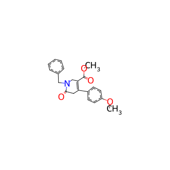 COC(=O)C1=C(c2ccc(OC)cc2)CC(=O)N(Cc2ccccc2)C1